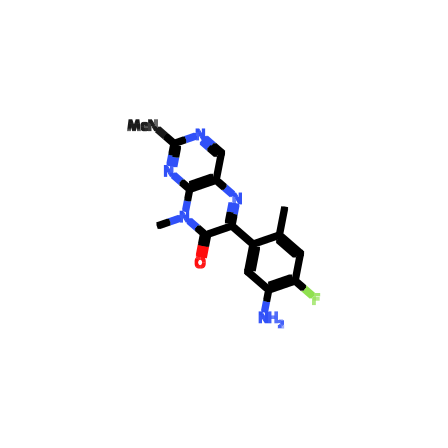 CNc1ncc2nc(-c3cc(N)c(F)cc3C)c(=O)n(C)c2n1